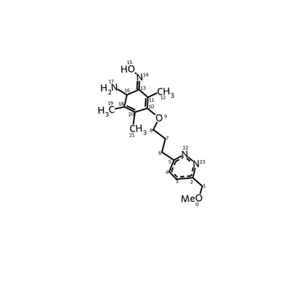 COCc1ccc(CCCOC2=C(C)C(=NO)C(N)C(C)=C2C)nn1